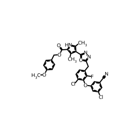 COc1ccc(COC(=O)c2[nH]c(C)c(-c3nnc(Cc4ccc(Cl)c(Oc5cc(Cl)cc(C#N)c5)c4F)o3)c2C)cc1